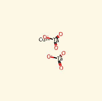 [Cu+2].[O]=[Ta](=[O])[O-].[O]=[Ta](=[O])[O-]